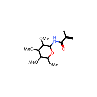 C=C(C)C(=O)NC1OC(OC)C(OC)C(OC)C1OC